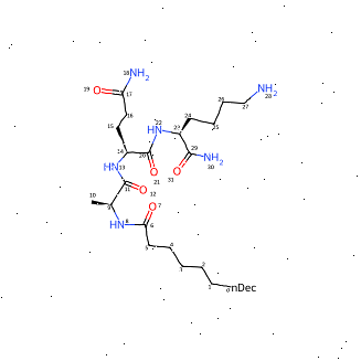 CCCCCCCCCCCCCCCC(=O)N[C@@H](C)C(=O)N[C@@H](CCC(N)=O)C(=O)N[C@@H](CCCCN)C(N)=O